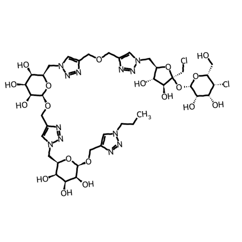 CCCn1cc(CO[C@@H]2O[C@H](Cn3cc(CO[C@@H]4O[C@H](Cn5cc(COCc6cn(C[C@H]7O[C@@](CCl)(O[C@@H]8O[C@H](CO)[C@H](Cl)[C@H](O)[C@@H]8O)[C@@H](O)[C@@H]7O)nn6)nn5)[C@H](O)[C@H](O)[C@@H]4O)nn3)[C@H](O)[C@H](O)[C@@H]2O)nn1